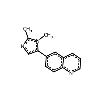 Cc1ncc(-c2ccc3ncccc3c2)n1C